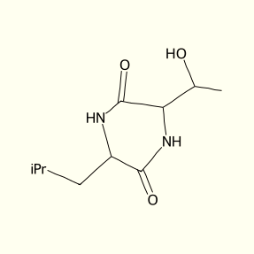 CC(C)CC1NC(=O)C(C(C)O)NC1=O